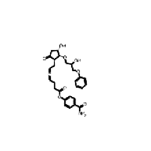 NC(=O)c1ccc(OC(=O)CCC=C=CC[C@H]2C(=O)C[C@H](O)[C@H]2OCC(O)COc2ccccc2)cc1